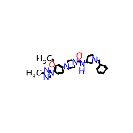 CCOc1cc(N2CCN(C(=O)NC3CCN(Cc4ccccc4)C3)CC2)ccc1-n1cnc(C)n1